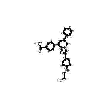 CC(=O)c1ccc(-c2cc(-c3ccccc3)cn3cc(-c4ccc(NCCO)cc4)nc23)cc1